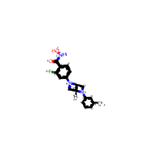 O=C(NO)c1ccc(N2C[C@@H]3C2CN3c2cccc(C(F)(F)F)c2)cc1F